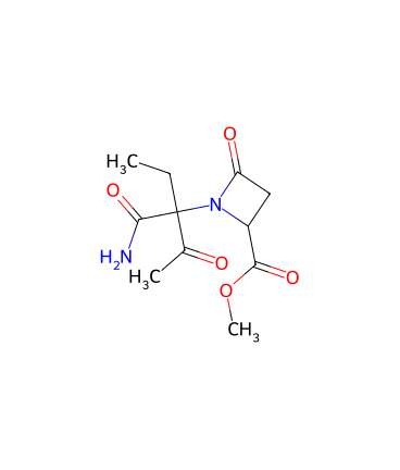 CCC(C(C)=O)(C(N)=O)N1C(=O)CC1C(=O)OC